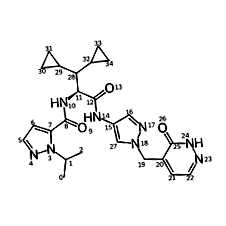 CC(C)n1nccc1C(=O)N[C@H](C(=O)Nc1cnn(Cc2ccn[nH]c2=O)c1)C(C1CC1)C1CC1